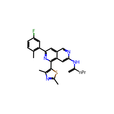 C=C(CCC)Nc1cc2c(-c3sc(C)nc3C)nc(-c3cc(F)ccc3C)cc2cn1